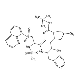 CC1CC(CC(O)C(Cc2ccccc2)NC(=O)C(CS(=O)(=O)c2cccc3cccnc23)NS(C)(=O)=O)C(C(=O)NC(C)(C)C)C1